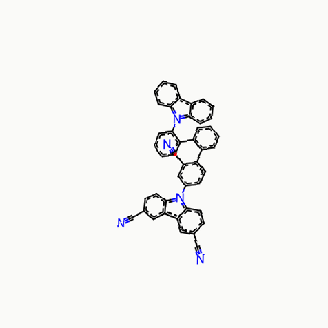 N#Cc1ccc2c(c1)c1cc(C#N)ccc1n2-c1ccc(-c2ccccc2-c2ccccc2-n2c3ccccc3c3ccccc32)c(C#N)c1